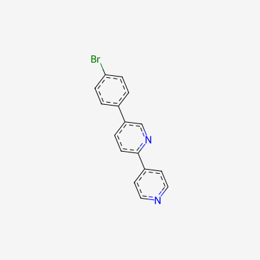 Brc1ccc(-c2ccc(-c3ccncc3)nc2)cc1